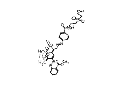 C=C(N)C(=C\C(=C(\N)C/N=N/c1ccc(C(=O)NCCS(=O)(=O)CCO)cc1)S(=O)(=O)O)/N=N/c1ccccc1C(=O)OC